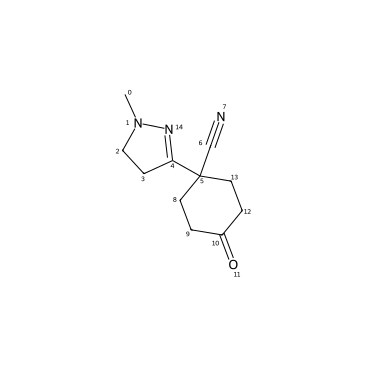 CN1CCC(C2(C#N)CCC(=O)CC2)=N1